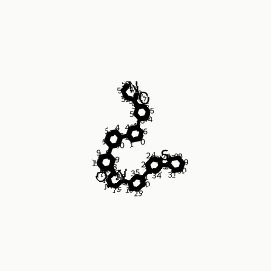 c1cc(-c2cccc(-c3ccc4oc5ccc(-c6cccc(-c7ccc8sc9ccccc9c8c7)c6)nc5c4c3)c2)cc(-c2ccc3oc4ncccc4c3c2)c1